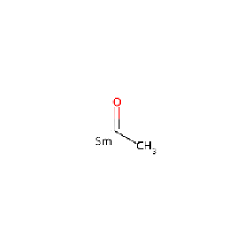 C[C]=O.[Sm]